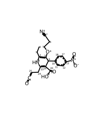 CCC1=C(OCCC#N)C(c2ccc([N+](=O)[O-])cc2)C(C(=O)O)=C(CC=C=O)N1